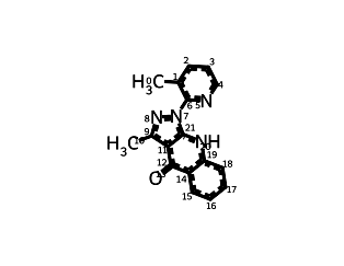 Cc1cccnc1-n1nc(C)c2c(=O)c3ccccc3[nH]c21